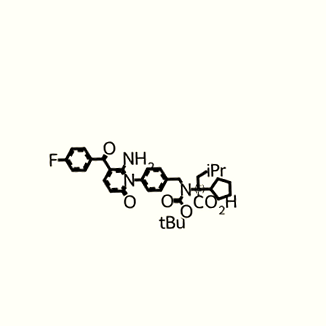 CC(C)C[C@@](C(=O)O)(C1CCCC1)N(Cc1ccc(-n2c(N)c(C(=O)c3ccc(F)cc3)ccc2=O)cc1)C(=O)OC(C)(C)C